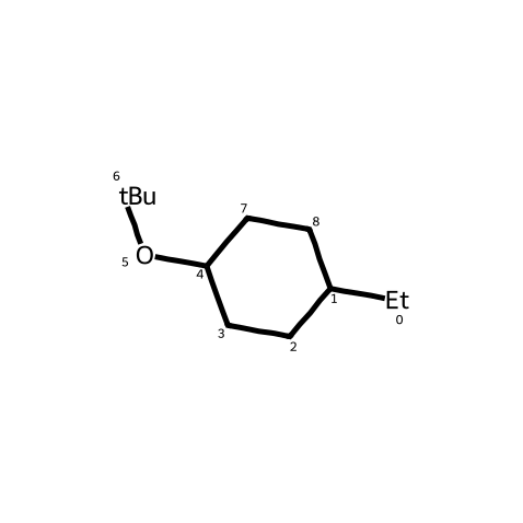 CCC1CCC(OC(C)(C)C)CC1